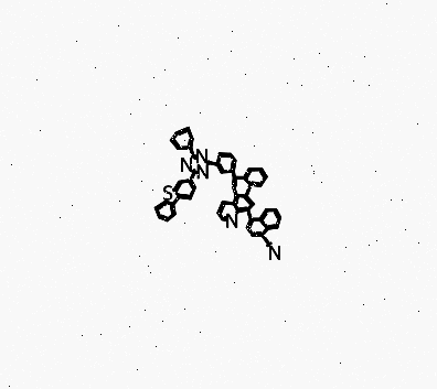 N#Cc1ccc(-c2cc3c4ccccc4c(-c4cccc(-c5nc(-c6ccccc6)nc(-c6ccc7c(c6)sc6ccccc67)n5)c4)cc3c3cccnc23)c2ccccc12